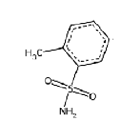 Cc1cc[c]cc1S(N)(=O)=O